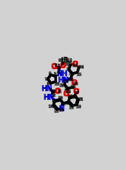 CC(C)(C)OC(=O)N[C@H]1CC[C@@H](NC(=O)Nc2ccnc(-c3cccc4c3OC(CNC(=O)C3CCOCC3)CO4)c2)C1